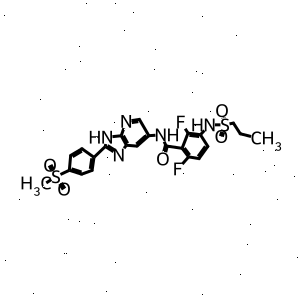 CCCS(=O)(=O)Nc1ccc(F)c(C(=O)Nc2cnc3[nH]c(-c4ccc(S(C)(=O)=O)cc4)nc3c2)c1F